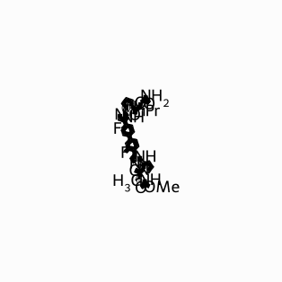 COC(=O)N[C@@H](C)C(=O)N1CCC[C@H]1c1ncc(-c2ccc(-c3ccc(-c4cnc([C@@H]5CCCN5C(=O)[C@@H](OC(N)=O)C(C)C)[nH]4)c(F)c3)cc2F)[nH]1